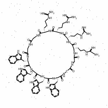 N=C(N)NCCC[C@@H]1NC(=O)CNC(=O)CNC(=O)[C@H](Cc2c[nH]c3ccccc23)NC(=O)[C@H](Cc2c[nH]c3ccccc23)NC(=O)[C@H](Cc2c[nH]c3ccccc23)NC(=O)[C@H](Cc2c[nH]c3ccccc23)NC(=O)CNC(=O)CNC(=O)[C@H](CCCNC(=N)N)NC(=O)[C@H](CCCNC(=N)N)NC(=O)[C@H](CCCNC(=N)N)NC1=O